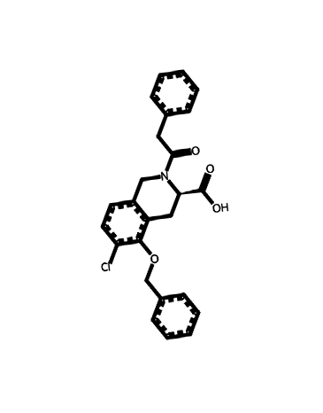 O=C(O)[C@H]1Cc2c(ccc(Cl)c2OCc2ccccc2)CN1C(=O)Cc1ccccc1